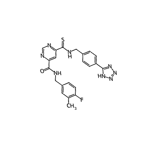 Cc1cc(CNC(=O)c2cc(C(=S)NCc3ccc(-c4nnn[nH]4)cc3)ncn2)ccc1F